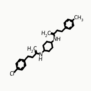 C=C(CCc1ccc(C)cc1)NC1CCC(NC(=C)CCc2ccc(Cl)cc2)CC1